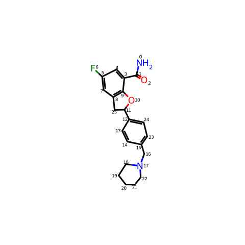 NC(=O)c1cc(F)cc2c1OC(c1ccc(CN3CCCCC3)cc1)C2